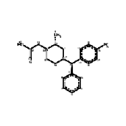 C[C@@H]1CN([C@H](c2ccccc2)c2ccc(Br)cc2)CCN1CC(=O)O